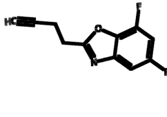 C#CCCc1nc2cc(F)cc(F)c2o1